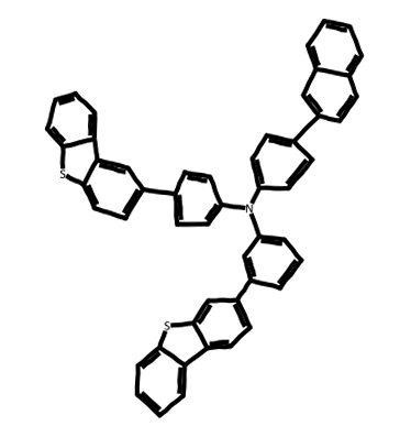 c1cc(-c2ccc3c(c2)sc2ccccc23)cc(N(c2ccc(-c3ccc4ccccc4c3)cc2)c2ccc(-c3ccc4sc5ccccc5c4c3)cc2)c1